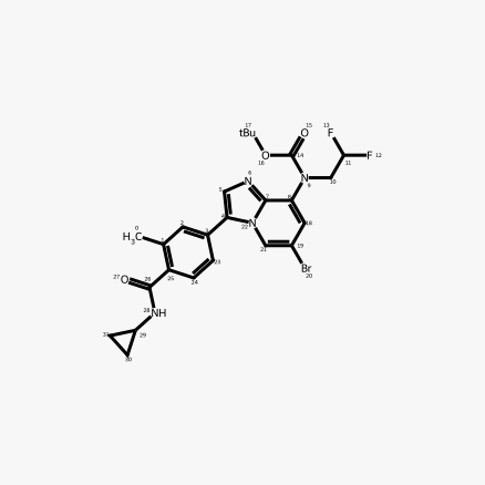 Cc1cc(-c2cnc3c(N(CC(F)F)C(=O)OC(C)(C)C)cc(Br)cn23)ccc1C(=O)NC1CC1